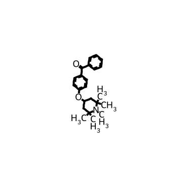 CN1C(C)(C)CC(Oc2ccc(C(=O)c3ccccc3)cc2)CC1(C)C